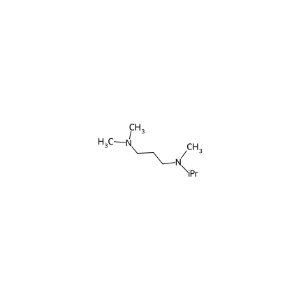 CC(C)N(C)CCCN(C)C